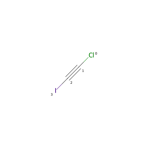 ClC#CI